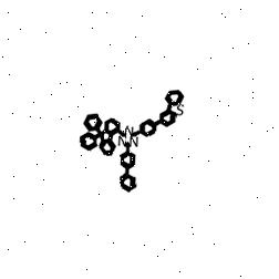 c1ccc(-c2ccc(-c3nc(-c4ccc(-c5ccc6sc7ccccc7c6c5)cc4)nc(-c4cccc5c4-c4ccccc4C5(c4ccccc4)c4ccccc4)n3)cc2)cc1